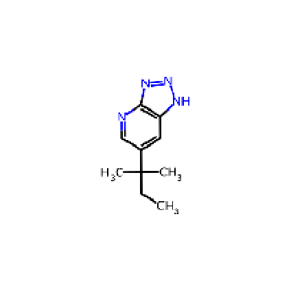 CCC(C)(C)c1cnc2nn[nH]c2c1